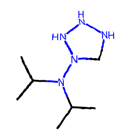 CC(C)N(C(C)C)N1CNNN1